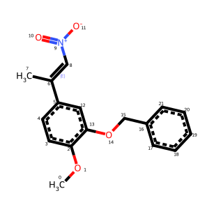 COc1ccc(/C(C)=C/[N+](=O)[O-])cc1OCc1ccccc1